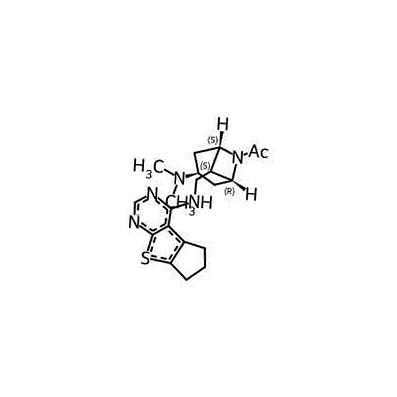 CC(=O)N1[C@@H]2C[C@@H](N(C)C)C[C@H]1C2CNc1ncnc2sc3c(c12)CCC3